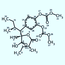 CC[C@H](C)C(=O)O[C@](N)(C(=O)O)C(c1ccc(OC(=O)OC)c(OC(=O)OC)c1)[C@@H](C)CC